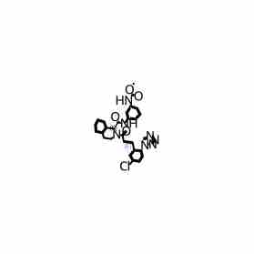 COC(=O)Nc1cccc(NC(=O)[C@@H]2c3ccccc3CCN2C(=O)/C=C/c2cc(Cl)ccc2-n2cnnn2)c1